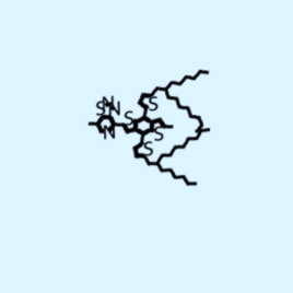 CCCCCCCCC(CCCCCC)Cc1ccc(-c2c3cc(-c4ncc(C)c5snnc45)sc3c(-c3ccc(CC(CCCCCC)CCCCCCCC)s3)c3cc(C)sc23)s1